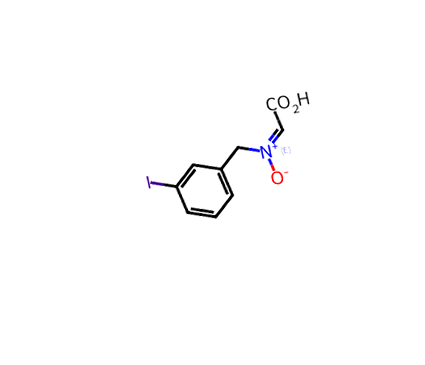 O=C(O)/C=[N+](/[O-])Cc1cccc(I)c1